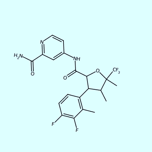 Cc1c(C2C(C(=O)Nc3ccnc(C(N)=O)c3)OC(C)(C(F)(F)F)C2C)ccc(F)c1F